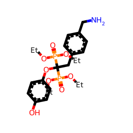 CCOP(=O)(OCC)C(Cc1ccc(CN)cc1)(Oc1ccc(O)cc1)P(=O)(OCC)OCC